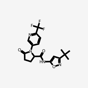 CC(C)(C)c1cc(NC(=O)C2CCC(=O)N2c2ccc(C(F)(F)F)nc2)on1